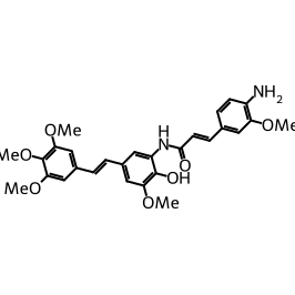 COc1cc(/C=C/C(=O)Nc2cc(/C=C/c3cc(OC)c(OC)c(OC)c3)cc(OC)c2O)ccc1N